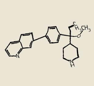 CCC(OC)(c1ccc(-c2ccc3cccnc3c2)cc1)C1CCNCC1